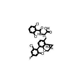 O=C(N[C@@H](Cc1ccc(-c2c(Cl)cc(F)cc2Cl)c2c1C1C[C@H]1CO2)C(=O)O)c1c(Cl)cccc1Cl